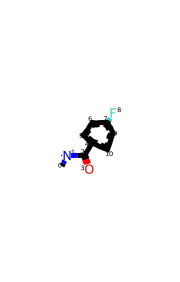 C[N]C(=O)c1ccc(F)cc1